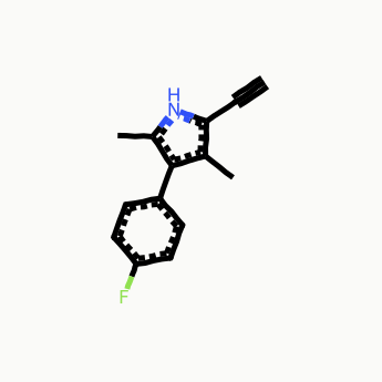 C#Cc1[nH]c(C)c(-c2ccc(F)cc2)c1C